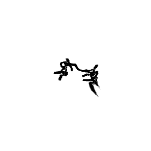 C[Si](C)(C)O[Si](C)(C)CCC[Si](C)(C)O[Si](C)(C)C